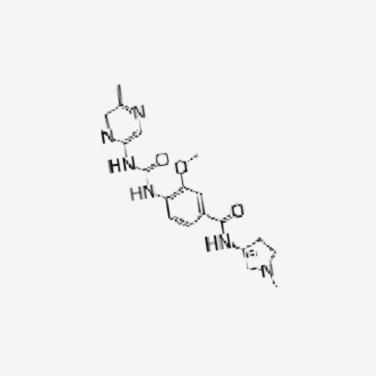 COc1cc(C(=O)N[C@H]2CCN(C)C2)ccc1NC(=O)Nc1cnc(C)cn1